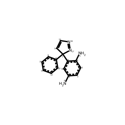 Nc1ccc(N)c(C2(c3ccccc3)C=CN=N2)c1